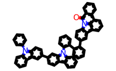 O=c1c2ccccc2c2cccc3c4cc(-c5ccccc5-c5ccccc5-n5c6ccccc6c6ccc(-c7ccc8c(c7)c7ccccc7n8-c7ccccc7)cc65)ccc4n1c23